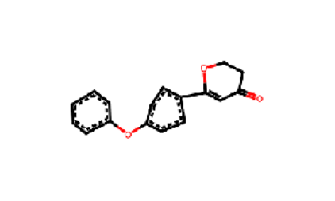 O=C1C=C(c2ccc(Oc3ccccc3)cc2)OCC1